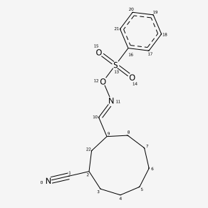 N#CC1CCCCCCC(C=NOS(=O)(=O)c2ccccc2)C1